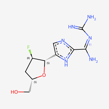 N=C(N)/N=C(/N)c1ncc([C@@H]2O[C@H](CO)C[C@H]2F)[nH]1